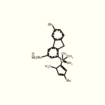 CC1C=C(C(C)(C)C)C=[C]1[Zr]([CH3])([CH3])(=[SiH2])[c]1cc(C(C)(C)C)cc2c1Cc1ccc(C(C)(C)C)cc1-2.Cl.Cl